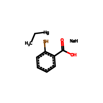 C[CH2][Hg].O=C(O)c1ccccc1S.[NaH]